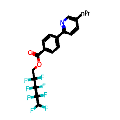 CCCc1ccc(-c2ccc(C(=O)OCC(F)(F)C(F)(F)C(F)(F)C(F)F)cc2)nc1